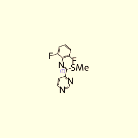 CS/C(=N\c1c(F)cccc1F)c1ccncn1